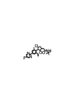 C=Cc1cc(-c2ncc(F)cn2)cc(C)c1C1C(=O)CC(CC(=O)NC(C)(C)C)C1=O